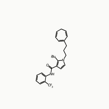 CCC(C)c1c(C(=O)Nc2ccccc2C(F)(F)F)ccn1CCCC1=CC=CCC=C1